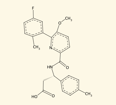 COc1ccc(C(=O)N[C@@H](CC(=O)O)c2ccc(C)cc2)nc1-c1cc(F)ccc1C